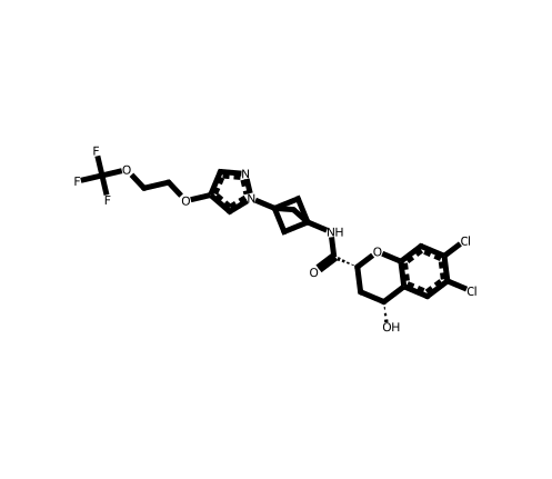 O=C(NC12CC(n3cc(OCCOC(F)(F)F)cn3)(C1)C2)[C@H]1C[C@@H](O)c2cc(Cl)c(Cl)cc2O1